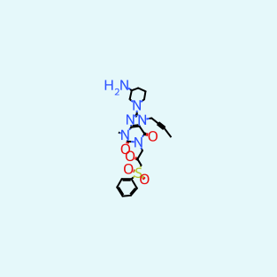 CC#CCn1c(N2CCCC(N)C2)nc2c1c(=O)n(CC(=O)CS(=O)(=O)c1ccccc1)c(=O)n2C